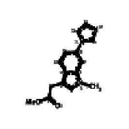 COC(=O)Cc1cn(C)c2cc(-n3ccnc3)ccc12